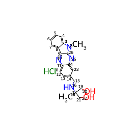 Cl.Cn1c2ccccc2c2nc3ccc(CNC(C)(CO)CO)cc3nc21